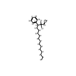 CCCCCCCCCCCCCC(c1ccccc1)C(C)(C)C=O